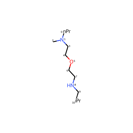 CCCN(C)CCOCCNCC(C)C